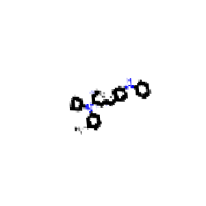 C\C=C/C(=C\C=C\c1ccc(Nc2ccccc2)cc1)N(c1ccccc1)c1cccc(C)c1